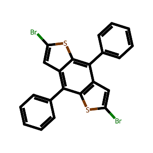 Brc1cc2c(-c3ccccc3)c3sc(Br)cc3c(-c3ccccc3)c2s1